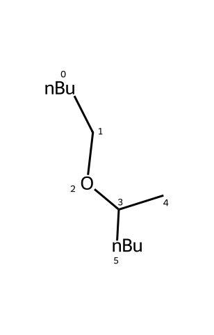 [CH2]CCCCOC(C)CCCC